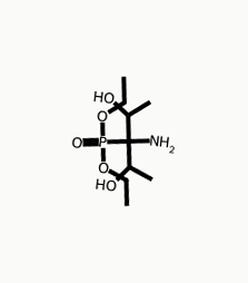 CCOP(=O)(OCC)C(N)(C(C)O)C(C)O